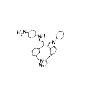 N[C@H]1CC[C@H](NCCC2c3cccc(c3)Cn3nccc3-c3ccc4c(c3)c2cn4C2CCCCC2)CC1